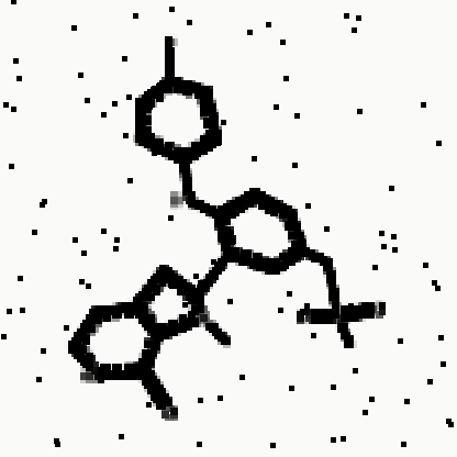 Cn1c(-c2cc(CS(C)(=O)=O)ccc2Nc2ccc(F)cc2)cc2cc[nH]c(=O)c21